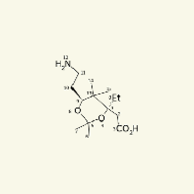 CC[C@]1(CC(=O)O)OC(C)(C)O[C@@H](CCN)C1(C)C